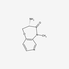 CN1C(=O)[C@@H](N)COc2ccncc21